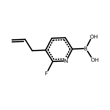 C=CCc1ccc(B(O)O)nc1F